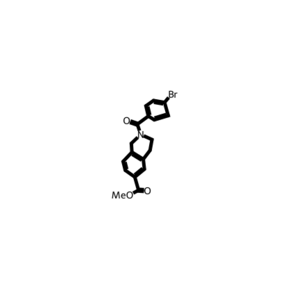 COC(=O)c1ccc2c(c1)CCN(C(=O)c1ccc(Br)cc1)C2